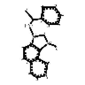 CC(NN1CN(Br)c2c1ccc1ccncc21)c1ccccc1